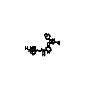 C=C/C(=C\C=C(/C)Nc1cc(Oc2cc(C3CC3)nn2C2CCOCC2)ccn1)S(N)(=O)=O